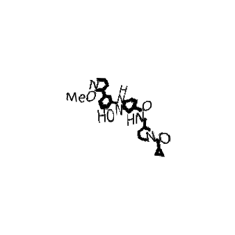 COc1ncccc1-c1ccc(O)c(-c2nc3cc(C(=O)NCC4CCCN(C(=O)C5CC5)C4)ccc3[nH]2)c1